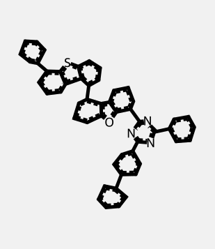 c1ccc(-c2ccc(-c3nc(-c4ccccc4)nc(-c4cccc5c4oc4cccc(-c6cccc7sc8c(-c9ccccc9)cccc8c67)c45)n3)cc2)cc1